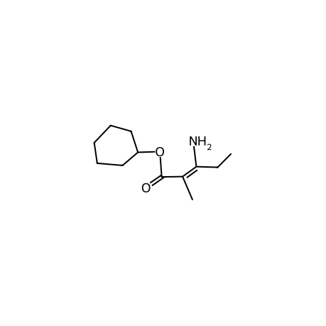 CCC(N)=C(C)C(=O)OC1CCCCC1